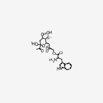 CC(=O)C1(O)CC(O)C([C@@H](C)O)C(C[C@H](O)COC(=O)[C@H](N)Cc2c[nH]c3ccccc23)O1